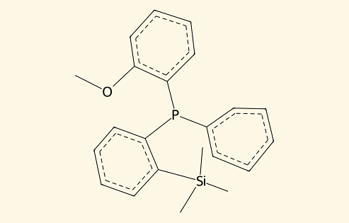 COc1ccccc1P(c1ccccc1)c1ccccc1[Si](C)(C)C